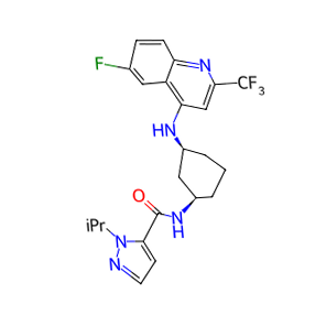 CC(C)n1nccc1C(=O)N[C@@H]1CCC[C@H](Nc2cc(C(F)(F)F)nc3ccc(F)cc23)C1